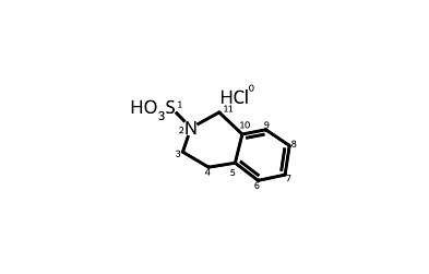 Cl.O=S(=O)(O)N1CCc2ccccc2C1